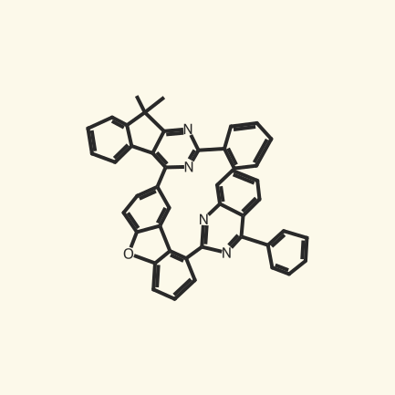 CC1(C)c2ccccc2-c2c(-c3ccc4oc5cccc(-c6nc(-c7ccccc7)c7ccccc7n6)c5c4c3)nc(-c3ccccc3)nc21